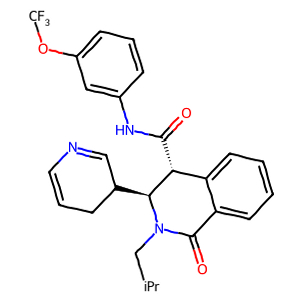 CC(C)CN1C(=O)c2ccccc2[C@@H](C(=O)Nc2cccc(OC(F)(F)F)c2)[C@@H]1C1C=NC=CC1